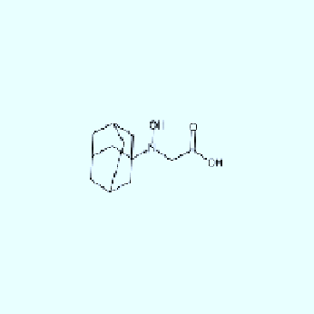 O=C(O)CN(O)C12CC3CC(CC(C3)C1)C2